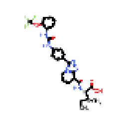 CC[C@H](C)[C@H](NC(=O)c1cccn2c(-c3ccc(NC(=O)Nc4ccccc4OC(F)(F)F)cc3)nnc12)C(=O)O